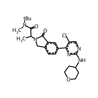 CC(C(=O)N(C)C(C)(C)C)N1Cc2ccc(-c3nc(NC4CCOCC4)ncc3Cl)cc2C1=O